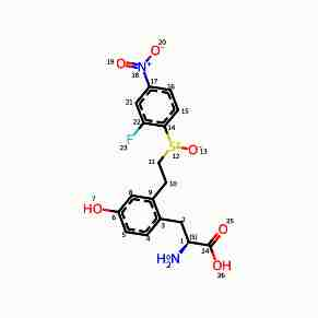 N[C@@H](Cc1ccc(O)cc1CC[S+]([O-])c1ccc([N+](=O)[O-])cc1F)C(=O)O